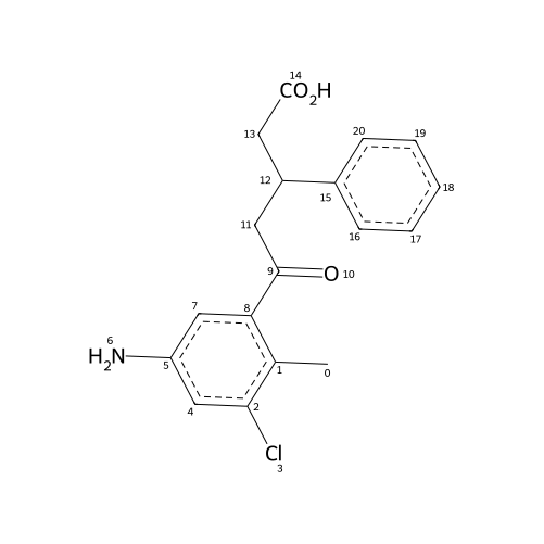 Cc1c(Cl)cc(N)cc1C(=O)CC(CC(=O)O)c1ccccc1